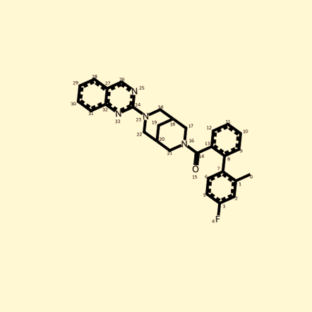 Cc1cc(F)ccc1-c1ccccc1C(=O)N1CC2CC(C1)CN(c1ncc3ccccc3n1)C2